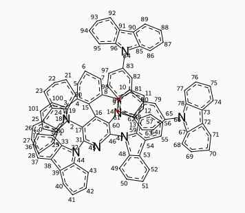 c1ccc(-c2cccc(-c3ccccc3)c2-c2c(-n3c4ccccc4c4ccccc43)c(-n3c4ccccc4c4ccccc43)nc(-n3c4ccccc4c4ccccc43)c2-n2c3ccc(-n4c5ccccc5c5ccccc54)cc3c3cc(-n4c5ccccc5c5ccccc54)ccc32)cc1